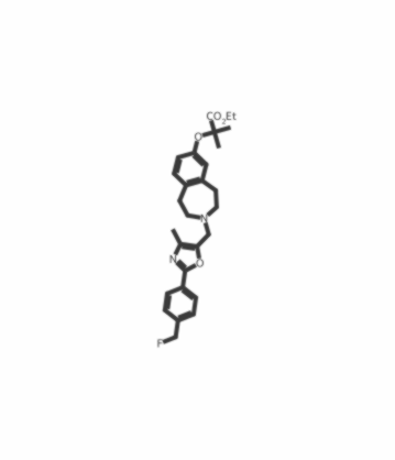 CCOC(=O)C(C)(C)Oc1ccc2c(c1)CCN(Cc1oc(-c3ccc(CF)cc3)nc1C)CC2